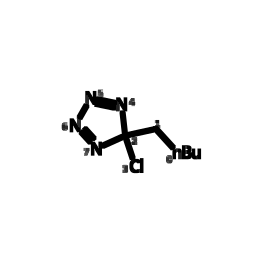 CCCCCC1(Cl)N=NN=N1